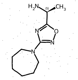 C[C@H](N)c1nc(N2CCCCCC2)no1